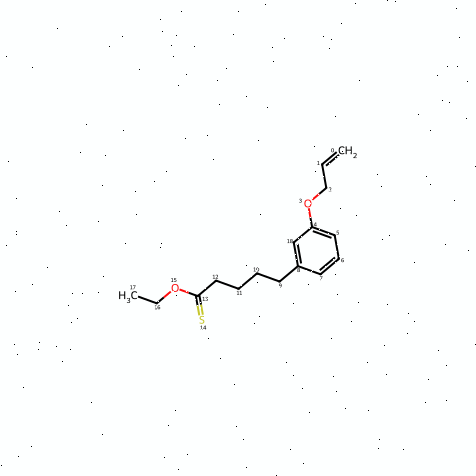 C=CCOc1cccc(CCCCC(=S)OCC)c1